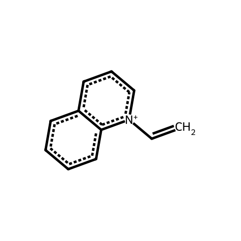 C=C[n+]1cccc2ccccc21